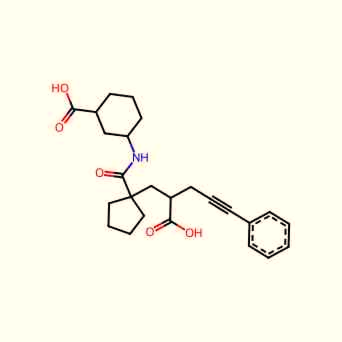 O=C(O)C1CCCC(NC(=O)C2(CC(CC#Cc3ccccc3)C(=O)O)CCCC2)C1